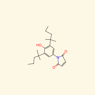 CCCC(C)(C)c1cc(N2C(=O)C=CC2=O)cc(C(C)(C)CCC)c1O